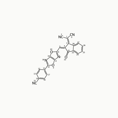 N#CC(C#N)=C1/C(=C/c2nc3oc(-c4ccc(C#N)cc4)nc3o2)C(=O)c2ccccc21